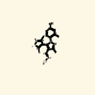 Cc1nn(-c2ccc(O)cc2F)c(-c2c(C)nsc2C)c1C=NO